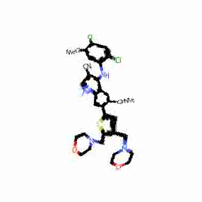 COc1cc(Nc2c(C#N)cnc3cc(-c4cc(CN5CCOCC5)c(CN5CCOCC5)s4)c(OC)cc23)c(Cl)cc1Cl